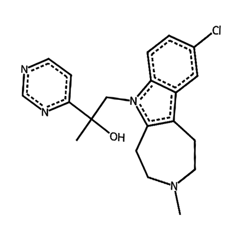 CN1CCc2c(n(CC(C)(O)c3ccncn3)c3ccc(Cl)cc23)CC1